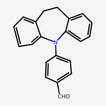 O=Cc1ccc(N2c3ccccc3CCc3ccccc32)cc1